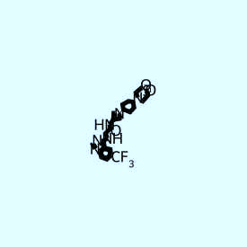 O=C(CNc1ncnc2ccc(C(F)(F)F)cc12)NC1CN([C@H]2CC[C@@H](N3CCS(=O)(=O)CC3)CC2)C1